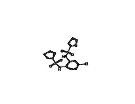 O=S(=O)(Nc1ccc(Cl)cc1NS(=O)(=O)c1cccs1)c1cccs1